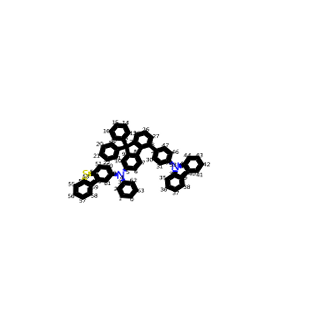 c1ccc(N(c2ccc3c(c2)C(c2ccccc2)(c2ccccc2)c2cccc(-c4ccc(-n5c6ccccc6c6ccccc65)cc4)c2-3)c2ccc3sc4ccccc4c3c2)cc1